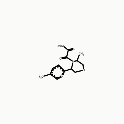 COC(=O)C(=O)N1C(C)COCC1c1ccc(C(F)(F)F)cn1